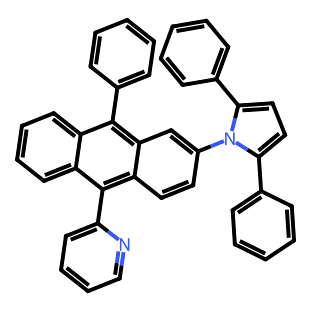 c1ccc(-c2c3ccccc3c(-c3ccccn3)c3ccc(-n4c(-c5ccccc5)ccc4-c4ccccc4)cc23)cc1